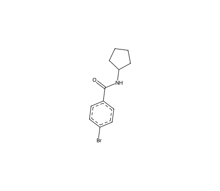 O=C(NC1CCCC1)c1ccc(Br)cc1